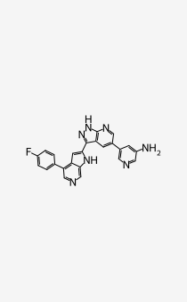 Nc1cncc(-c2cnc3[nH]nc(-c4cc5c(-c6ccc(F)cc6)cncc5[nH]4)c3c2)c1